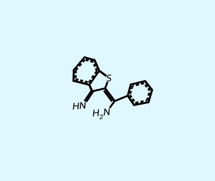 N=C1/C(=C(\N)c2ccccc2)Sc2ccccc21